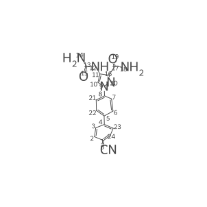 N#Cc1ccc(-c2ccc(-n3cc(NC(N)=O)c(C(N)=O)n3)cc2)cc1